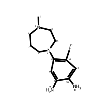 CN1CCCN(c2cc(N)c(N)cc2F)CC1